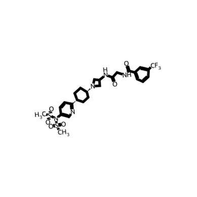 CS(=O)(=O)N(c1ccc([C@H]2CC[C@@H](N3CC(NC(=O)CNC(=O)c4cccc(C(F)(F)F)c4)C3)CC2)nc1)S(C)(=O)=O